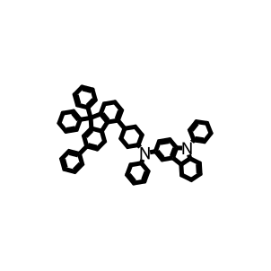 C1=CCC(N(c2ccc3c(c2)C2CCC=CC2N3C2=CCCC=C2)C2CCC(C3=CCCC4=C3C3CC=C(c5ccccc5)C=C3C4(C3=CCCC=C3)c3ccccc3)CC2)C=C1